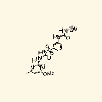 COc1cc(C)nc(NC(=O)NS(=O)(=O)c2cccc(NC(=O)NC(C)(C)C)c2)n1